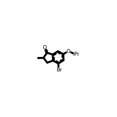 CC(C)Oc1cc(Br)c2c(c1)C(=O)C(C)C2